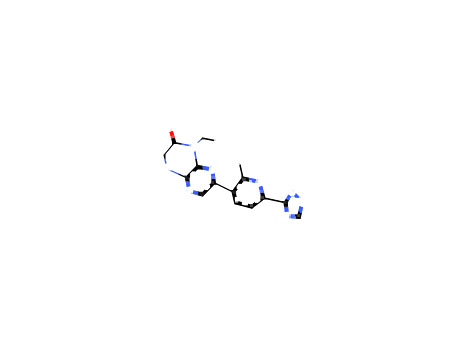 CCN1C(=O)CNc2ncc(-c3ccc(-c4nnc[nH]4)nc3C)nc21.Cl